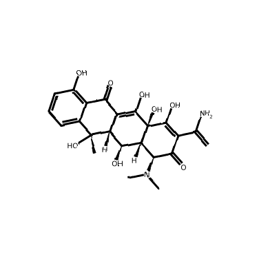 C=C(N)C1=C(O)[C@@]2(O)C(O)=C3C(=O)c4c(O)cccc4[C@@](C)(O)[C@H]3[C@H](O)[C@H]2[C@H](N(C)C)C1=O